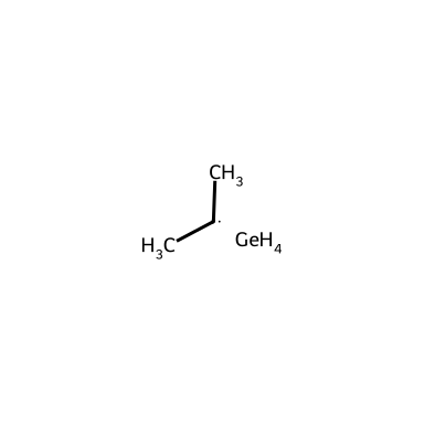 C[CH]C.[GeH4]